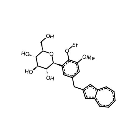 CCOc1c(OC)cc(Cc2cc3cccccc-3c2)cc1[C@@H]1O[C@H](CO)[C@@H](O)[C@H](O)[C@H]1O